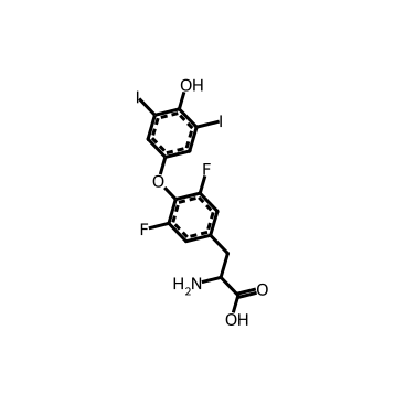 NC(Cc1cc(F)c(Oc2cc(I)c(O)c(I)c2)c(F)c1)C(=O)O